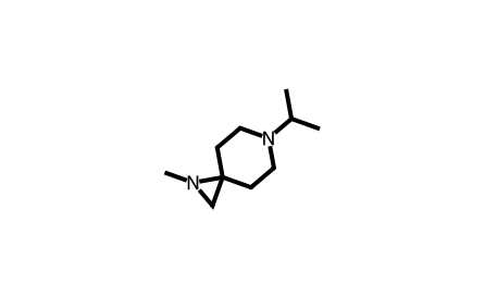 CC(C)N1CCC2(CC1)CN2C